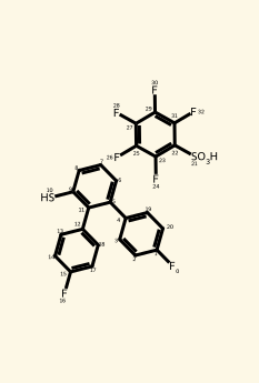 Fc1ccc(-c2cccc(S)c2-c2ccc(F)cc2)cc1.O=S(=O)(O)c1c(F)c(F)c(F)c(F)c1F